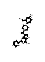 O=C(c1csc2c(O)nc(-c3ccccn3)nc12)N1CCN(c2ccc(F)cc2CO)CC1